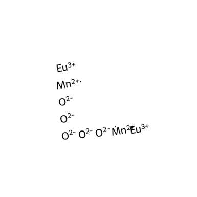 [Eu+3].[Eu+3].[Mn+2].[Mn+2].[O-2].[O-2].[O-2].[O-2].[O-2]